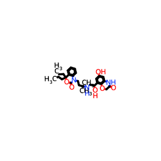 CCCC1(CCC)OC(=O)N(CCC(C)(C)NCC(O)c2cc(O)cc3c2OCC(=O)N3)c2ccccc21